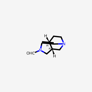 O=CN1C[C@H]2CN3C=C1[C@@H]2CC3